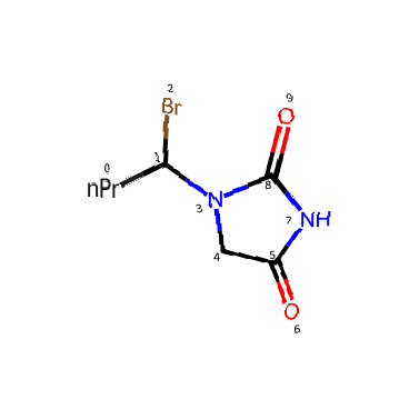 CCCC(Br)N1CC(=O)NC1=O